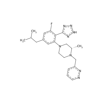 CC(C)Cc1cc(F)c(-c2nn[nH]n2)c(N2CCN(Cc3cccnn3)[C@@H](C)C2)c1